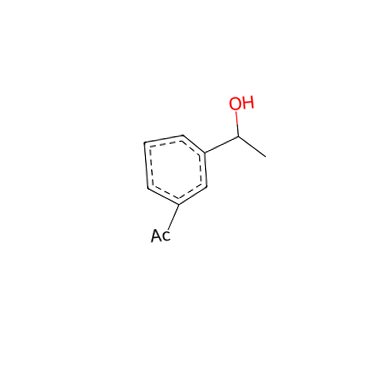 CC(=O)c1cccc(C(C)O)c1